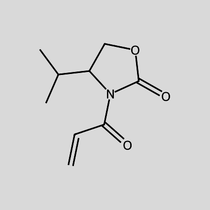 C=CC(=O)N1C(=O)OCC1C(C)C